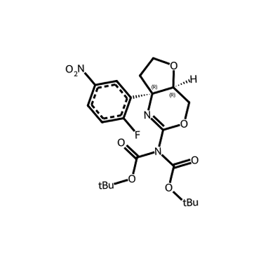 CC(C)(C)OC(=O)N(C(=O)OC(C)(C)C)C1=N[C@@]2(c3cc([N+](=O)[O-])ccc3F)CCO[C@H]2CO1